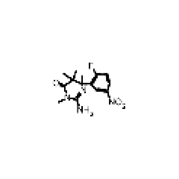 CN1C(=O)C(C)(C)C(C)(c2cc([N+](=O)[O-])ccc2F)N=C1N